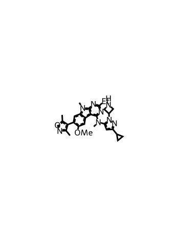 CCc1nc(N(C)c2cc(C3CC3)nn2C2CNC2)c2c3cc(OC)c(-c4c(C)noc4C)cc3n(C)c2n1